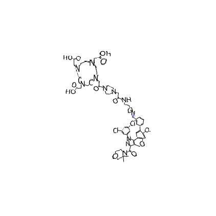 COc1cc2c(cc1-c1cccc(/C=N/OCCNC(=O)CN3CCN(C(=O)CN4CCN(CC(=O)O)CCN(CC(=O)O)CCN(CC(=O)O)CC4)CC3)c1)-c1c(c(C(=O)N3CCOCC3(C)C)nn1-c1cc(Cl)cc(Cl)c1)CO2